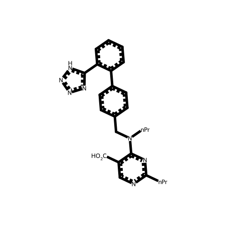 CCCc1ncc(C(=O)O)c(N(CCC)Cc2ccc(-c3ccccc3-c3nnn[nH]3)cc2)n1